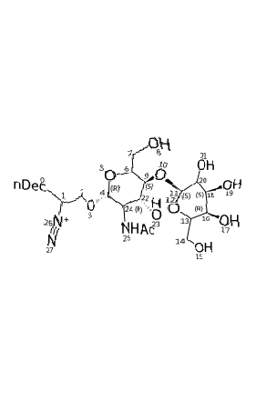 CCCCCCCCCCC(CO[C@@H]1OC(CO)[C@@H](O[C@@H]2OC(CO)[C@H](O)[C@H](O)C2O)[C@H](O)C1NC(C)=O)[N+]#N